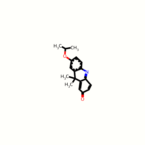 CC(C)Oc1ccc2c(c1)C(C)(C)C1=CC(=O)C=CC1=N2